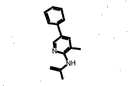 C=C(C)Nc1ncc(-c2ccccc2)cc1C